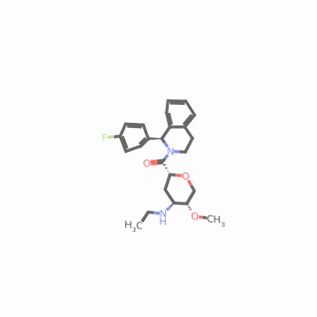 CCN[C@H]1C[C@H](C(=O)N2CCc3ccccc3[C@@H]2c2ccc(F)cc2)OC[C@@H]1OC